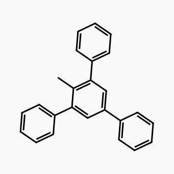 Cc1c(-c2ccccc2)cc(-c2ccccc2)cc1-c1ccccc1